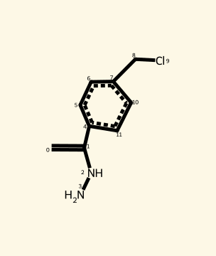 C=C(NN)c1ccc(CCl)cc1